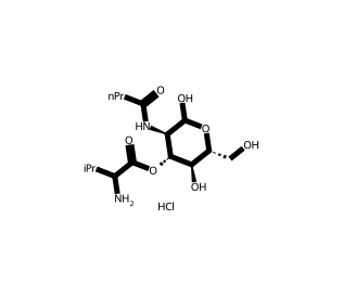 CCCC(=O)N[C@H]1C(O)O[C@H](CO)[C@@H](O)[C@@H]1OC(=O)C(N)C(C)C.Cl